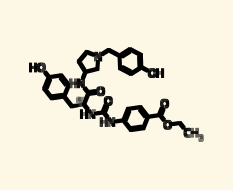 CCOC(=O)c1ccc(NC(=O)N[C@@H](Cc2ccc(O)cc2)C(=O)NC2CCN(Cc3ccc(O)cc3)C2)cc1